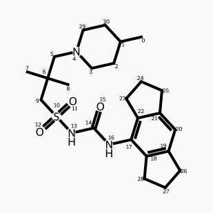 CC1CCN(CC(C)(C)CS(=O)(=O)NC(=O)Nc2c3c(cc4c2CCC4)CCC3)CC1